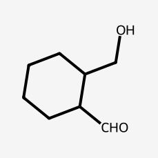 O=CC1CCCCC1CO